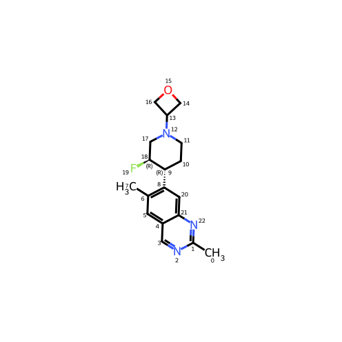 Cc1ncc2cc(C)c([C@H]3CCN(C4COC4)C[C@@H]3F)cc2n1